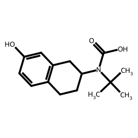 CC(C)(C)N(C(=O)O)C1CCc2ccc(O)cc2C1